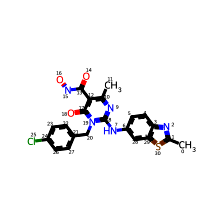 Cc1nc2ccc(Nc3nc(C)c(C(=O)N=O)c(=O)n3Cc3ccc(Cl)cc3)cc2s1